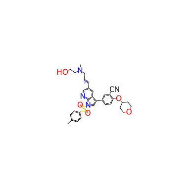 Cc1ccc(S(=O)(=O)n2cc(-c3ccc(OC4CCOCC4)c(C#N)c3)c3cc(/C=C/CN(C)CCO)cnc32)cc1